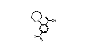 O=C(O)c1ccc([N+](=O)[O-])cc1N1CCCCCC1